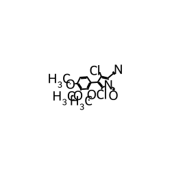 COc1ccc(-c2c(Cl)c(C#N)n(C=O)c2Cl)c(OC)c1OC